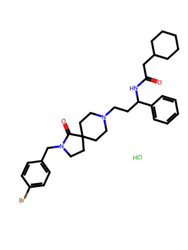 Cl.O=C(CC1CCCCC1)NC(CCN1CCC2(CC1)CCN(Cc1ccc(Br)cc1)C2=O)c1ccccc1